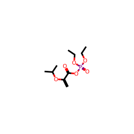 C=C(OC(C)C)C(=O)OP(=O)(OCC)OCC